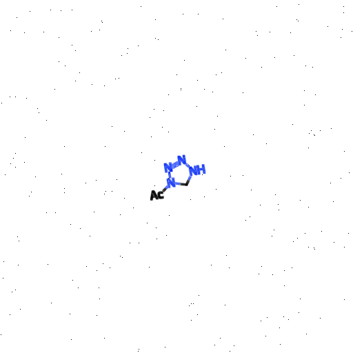 CC(=O)N1CNN=N1